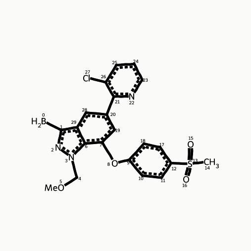 Bc1nn(COC)c2c(Oc3ccc(S(C)(=O)=O)cc3)cc(-c3ncccc3Cl)cc12